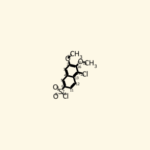 COc1cc2cc(S(=O)(=O)Cl)ccc2c(Cl)c1OC